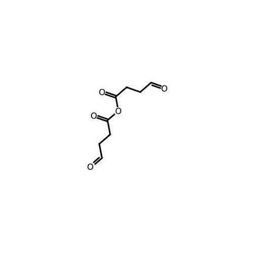 O=CCCC(=O)OC(=O)CCC=O